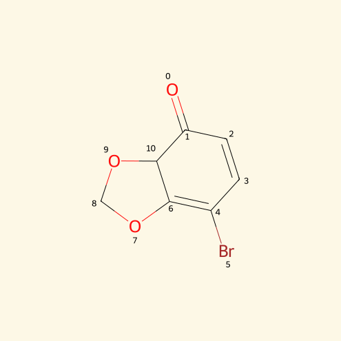 O=C1C=CC(Br)=C2OCOC12